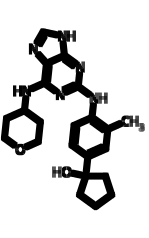 Cc1cc(C2(O)CCCC2)ccc1Nc1nc(NC2CCOCC2)c2nc[nH]c2n1